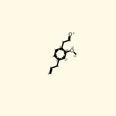 C=CCc1ccc(CC=O)c(OC)c1